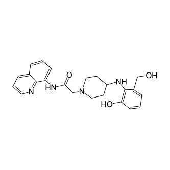 O=C(CN1CCC(Nc2c(O)cccc2CO)CC1)Nc1cccc2cccnc12